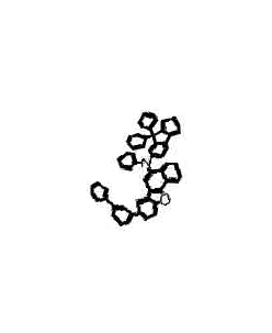 c1ccc(-c2cccc(-c3ccc4oc5c6ccccc6c(N(c6ccccc6)c6ccc7c(c6)C(c6ccccc6)(c6ccccc6)c6ccccc6-7)cc5c4c3)c2)cc1